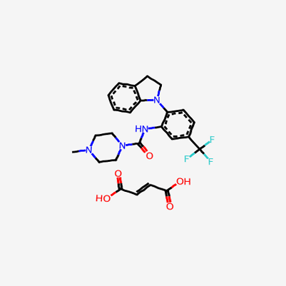 CN1CCN(C(=O)Nc2cc(C(F)(F)F)ccc2N2CCc3ccccc32)CC1.O=C(O)C=CC(=O)O